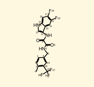 Cc1ccc(CNC(=O)C(=O)Nc2c[nH]c3cc(F)c(F)cc23)cc1C(F)(F)F